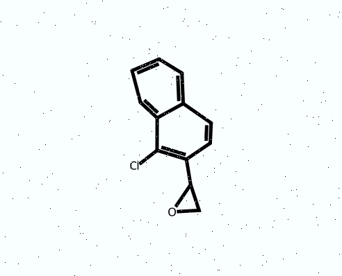 Clc1c(C2CO2)ccc2ccccc12